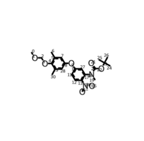 COCOc1c(C)cc(Oc2ccc([N+](=O)[O-])c(N(C)C(=O)OC(C)(C)C)c2)cc1C